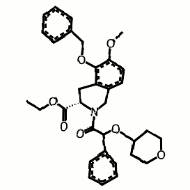 CCOC(=O)[C@@H]1Cc2c(ccc(OC)c2OCc2ccccc2)CN1C(=O)C(OC1CCOCC1)c1ccccc1